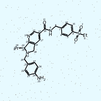 CCS(=O)(=O)c1ccc(CNC(=O)c2cnc3c(c2)CN(Cc2ccc(N)cc2)[C@H]3C(C)C)cc1